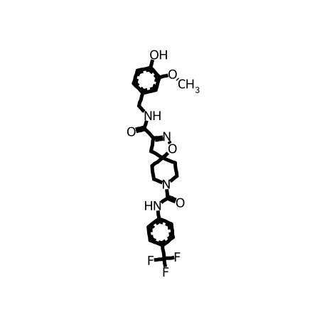 COc1cc(CNC(=O)C2=NOC3(CCN(C(=O)Nc4ccc(C(F)(F)F)cc4)CC3)C2)ccc1O